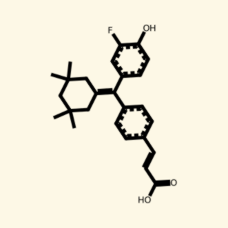 CC1(C)CC(=C(c2ccc(C=CC(=O)O)cc2)c2ccc(O)c(F)c2)CC(C)(C)C1